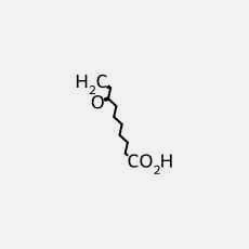 C=CC(=O)CCCCCCC(=O)O